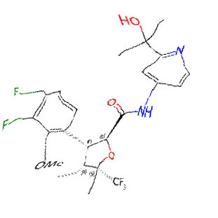 COc1c([C@@H]2[C@@H](C(=O)Nc3ccnc(C(C)(C)O)c3)O[C@](C)(C(F)(F)F)[C@@H]2C)ccc(F)c1F